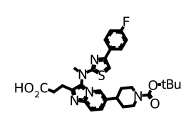 CN(c1nc(-c2ccc(F)cc2)cs1)c1c(CCC(=O)O)nc2ccc(C3CCN(C(=O)OC(C)(C)C)CC3)cn12